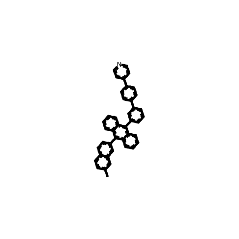 Cc1ccc2ccc(-c3c4ccccc4c(-c4cccc(-c5ccc(-c6ccncc6)cc5)c4)c4ccccc34)cc2c1